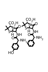 CC1(C)S[C@@H]2[C@H](NC(=O)[C@H](N)c3ccc(O)cc3)C(=O)N2[C@H]1C(=O)O.CC1(C)S[C@@H]2[C@H](NC(=O)[C@H](N)c3ccccc3)C(=O)N2[C@H]1C(=O)O